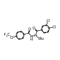 CC(C)(C)N(NC(=O)c1ccc(OC(F)(F)F)cc1)C(=O)c1ccc(Cl)c(Cl)c1